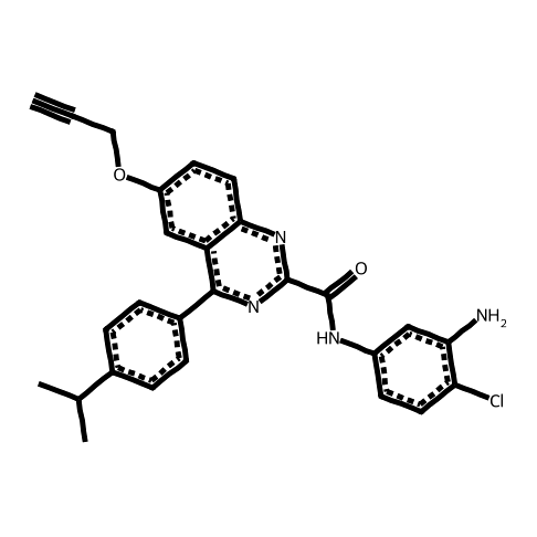 C#CCOc1ccc2nc(C(=O)Nc3ccc(Cl)c(N)c3)nc(-c3ccc(C(C)C)cc3)c2c1